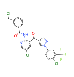 O=C(Nc1ncc(Cl)cc1C(=O)c1cnn(-c2ccc(Cl)c(C(F)(F)F)c2)c1)c1cccc(CCl)c1